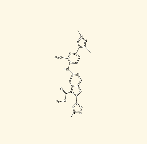 COc1cc(-c2cn(C)nc2C)ccc1Nc1cc2c(cn1)cc(-c1cnn(C)c1)n2C(=O)OC(C)C